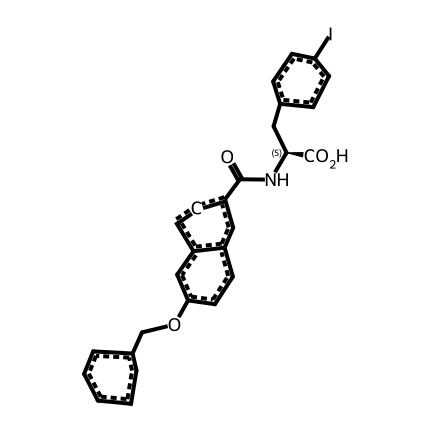 O=C(N[C@@H](Cc1ccc(I)cc1)C(=O)O)c1ccc2cc(OCc3ccccc3)ccc2c1